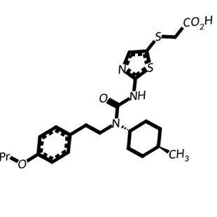 CCCOc1ccc(CCN(C(=O)Nc2ncc(SCC(=O)O)s2)[C@H]2CC[C@H](C)CC2)cc1